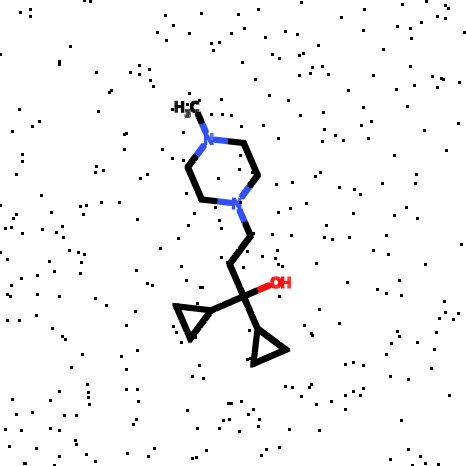 CN1CCN(CCC(O)(C2CC2)C2CC2)CC1